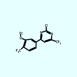 CCOc1cc(-c2cc(C(F)(F)F)nc(Cl)n2)ccc1C(F)(F)F